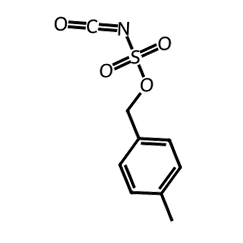 Cc1ccc(COS(=O)(=O)N=C=O)cc1